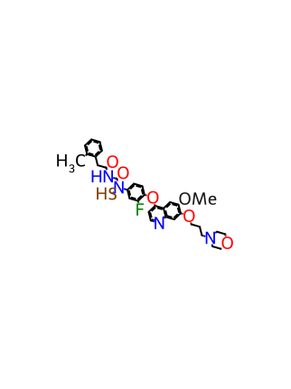 COc1cc2c(Oc3ccc(N(S)C(=O)NC(=O)Cc4ccccc4C)cc3F)ccnc2cc1OCCCN1CCOCC1